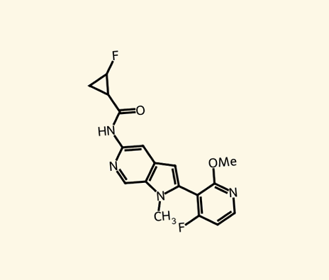 COc1nccc(F)c1-c1cc2cc(NC(=O)C3CC3F)ncc2n1C